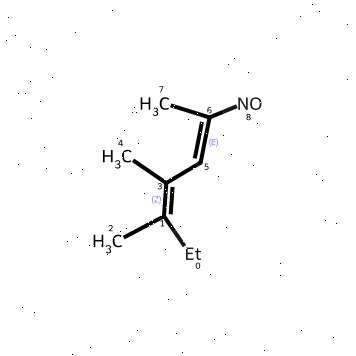 CC/C(C)=C(C)\C=C(/C)N=O